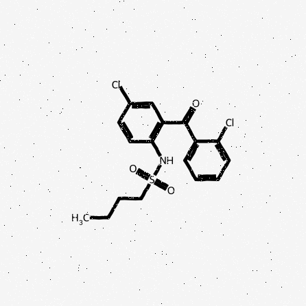 CCCCS(=O)(=O)Nc1ccc(Cl)cc1C(=O)c1ccccc1Cl